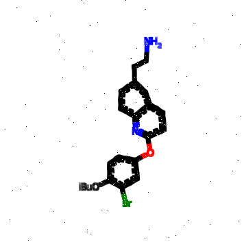 CC(C)COc1ccc(Oc2ccc3cc(CCN)ccc3n2)cc1Br